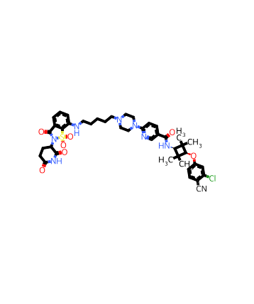 CC1(C)[C@H](NC(=O)c2ccc(N3CCN(CCCCCNc4cccc5c4S(=O)(=O)N(C4CCC(=O)NC4=O)C5=O)CC3)nc2)C(C)(C)[C@H]1Oc1ccc(C#N)c(Cl)c1